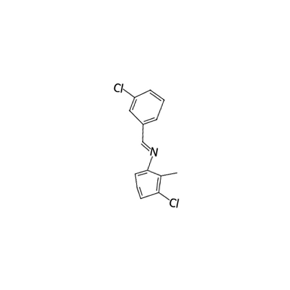 Cc1c(Cl)cccc1/N=C/c1cccc(Cl)c1